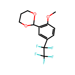 COc1ccc(C(F)(F)C(F)(F)F)cc1C1OCCCO1